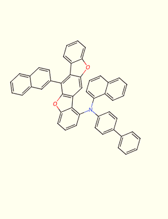 c1ccc(-c2ccc(N(c3cccc4ccccc34)c3cccc4oc5c(-c6ccc7ccccc7c6)c6c(cc5c34)oc3ccccc36)cc2)cc1